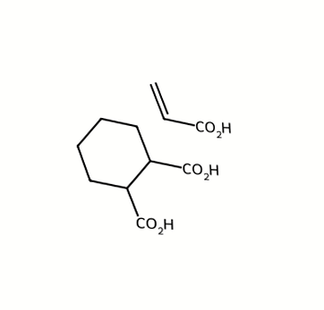 C=CC(=O)O.O=C(O)C1CCCCC1C(=O)O